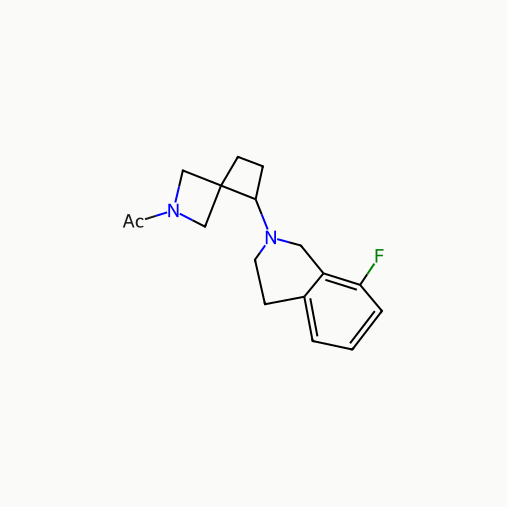 CC(=O)N1CC2(CCC2N2CCc3cccc(F)c3C2)C1